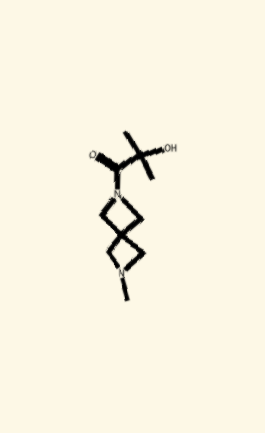 CN1CC2(C1)CN(C(=O)C(C)(C)O)C2